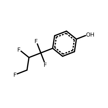 Oc1ccc(C(F)(F)C(F)CF)cc1